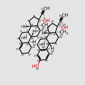 C#C[C@]1(O)CC[C@H]2[C@@H]3CCC4=CCCC[C@@H]4[C@H]3CC[C@@]21C.C#C[C@]1(O)CC[C@H]2[C@@H]3CCc4cc(O)ccc4[C@H]3CC[C@@]21C